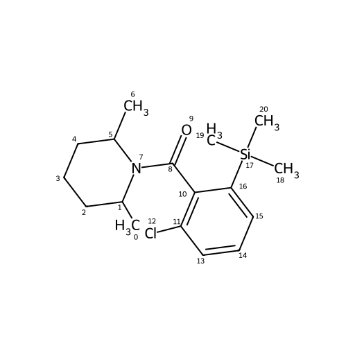 CC1CCCC(C)N1C(=O)c1c(Cl)cccc1[Si](C)(C)C